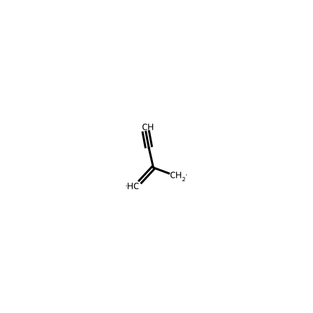 [CH]=C([CH2])C#C